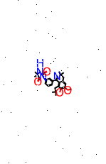 COc1cc2c(c3c1OC(C)(C)C3)C(c1cccc(N3C(=O)NC(C)(C)C3=O)c1)=NC(C)(C)C2